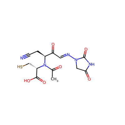 CC(=O)N([C@@H](CS)C(=O)O)[C@@H](CC#N)C(=O)C=NN1CC(=O)NC1=O